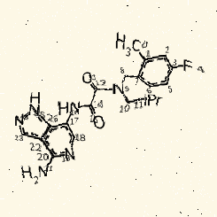 Cc1cc(F)ccc1CN(CC(C)C)C(=O)C(=O)Nc1cnc(N)c2cn[nH]c12